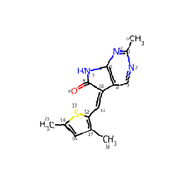 Cc1ncc2c(n1)NC(=O)C2=Cc1sc(C)cc1C